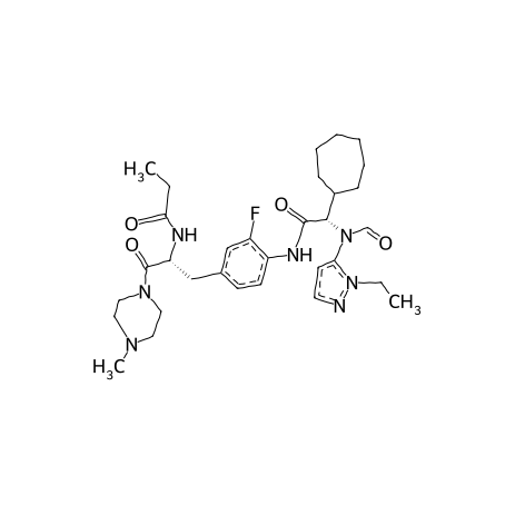 CCC(=O)N[C@H](Cc1ccc(NC(=O)[C@H](C2CCCCCC2)N(C=O)c2ccnn2CC)c(F)c1)C(=O)N1CCN(C)CC1